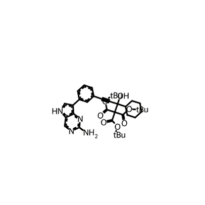 CC(C)(C)OC(=O)C(C(=O)OC(C)(C)C)(C(=O)OC(C)(C)C)C(O)(C#Cc1cccc(-c2c[nH]c3cnc(N)nc23)c1)C1CCCCC1